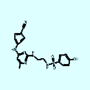 Cc1cc(Nc2ccc(C#N)cc2)nc(NCCNS(=O)(=O)c2ccc(O)cc2)n1